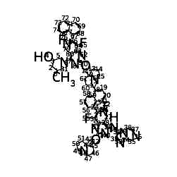 C[C@H]1C[C@@H](O)CN(c2nc(OCC34CCCN3C(c3ccc(F)c5c(-c6ncc7c(Nc8cnc9cnccn89)nc(OCC89CCCN8CCC9)nc7c6F)cccc35)CC4)nc3c(F)c(-c4cccc5cccc(F)c45)ncc23)C1